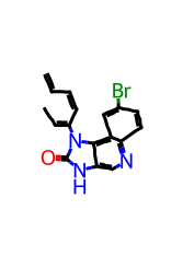 C=C/C=C\C(=C/C)n1c(=O)[nH]c2cnc3ccc(Br)cc3c21